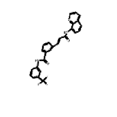 O=C(/C=C/c1cccc(C(=O)Nc2cccc(C(F)(F)F)c2)c1)Nc1cccc2cccnc12